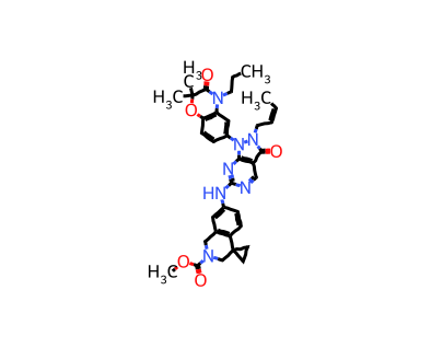 C/C=C\Cn1c(=O)c2cnc(Nc3ccc4c(c3)CN(C(=O)OC)CC43CC3)nc2n1-c1ccc2c(c1)N(CCC)C(=O)C(C)(C)O2